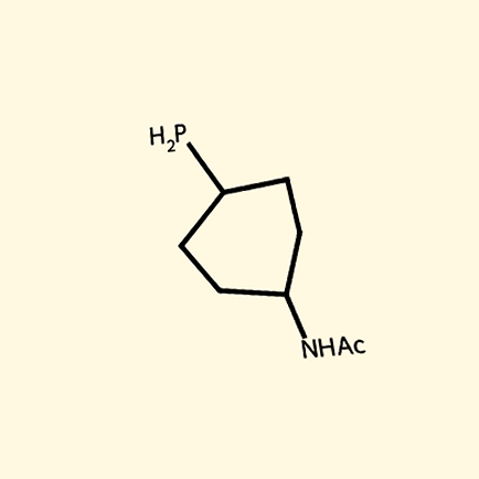 CC(=O)NC1CCC(P)CC1